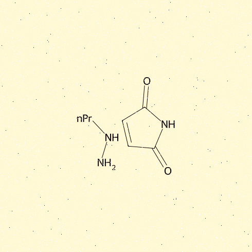 CCCNN.O=C1C=CC(=O)N1